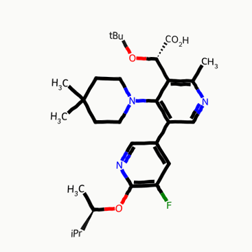 Cc1ncc(-c2cnc(O[C@H](C)C(C)C)c(F)c2)c(N2CCC(C)(C)CC2)c1[C@H](OC(C)(C)C)C(=O)O